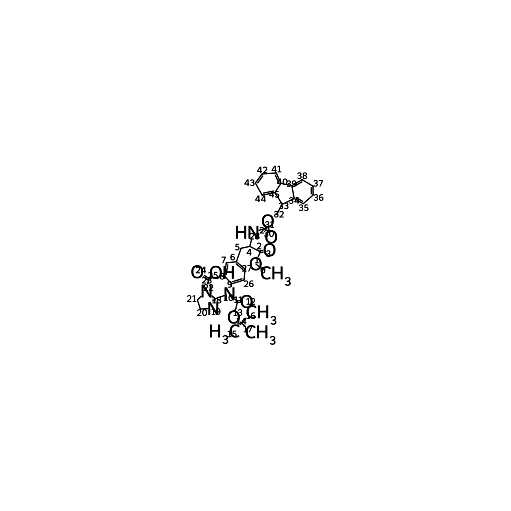 COC(=O)C(Cc1ccc(N(C(=O)OC(C)(C)C)C2=NCCN2C(=O)O)cc1)NC(=O)OCC1c2ccccc2-c2ccccc21